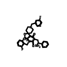 NC(Cn1c(=O)c2c(n(Cc3c(F)cccc3C(F)(F)F)c1=O)COC21CCN(Cc2cncc(F)c2)CC1)c1ccccc1